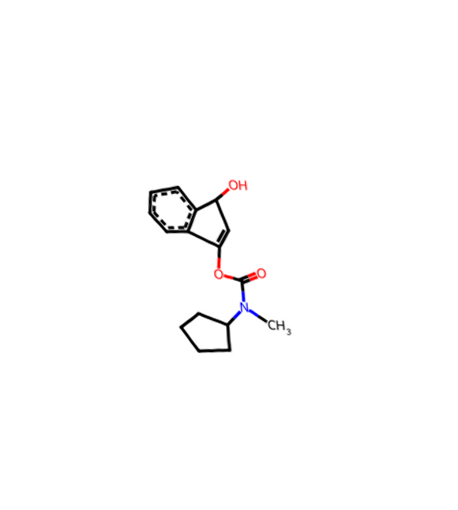 CN(C(=O)OC1=CC(O)c2ccccc21)C1CCCC1